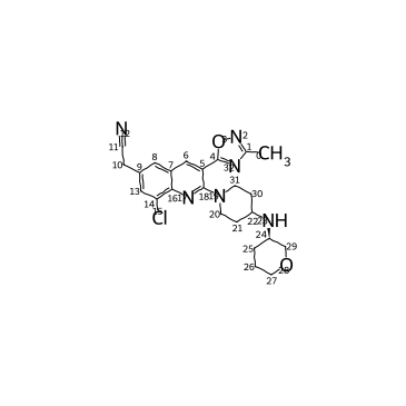 Cc1noc(-c2cc3cc(CC#N)cc(Cl)c3nc2N2CCC(N[C@@H]3CCCOC3)CC2)n1